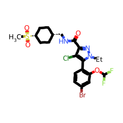 CCn1nc(C(=O)NC[C@H]2CC[C@@H](S(C)(=O)=O)CC2)c(Cl)c1-c1ccc(Br)cc1OC(F)F